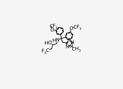 Cn1nnc(CC(NCC(O)CC(F)(F)F)(c2cccc(OC(F)(F)F)c2)c2cccc(OC(F)(F)F)c2)n1